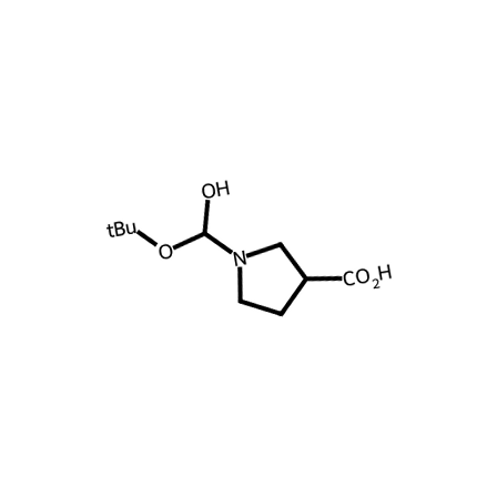 CC(C)(C)OC(O)N1CCC(C(=O)O)C1